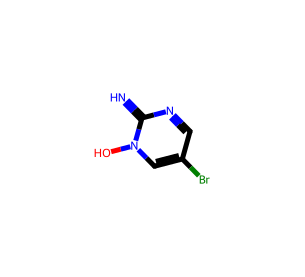 N=c1ncc(Br)cn1O